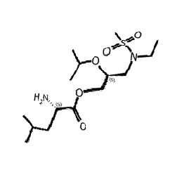 CCN(C[C@@H](COC(=O)[C@@H](N)CC(C)C)OC(C)C)S(C)(=O)=O